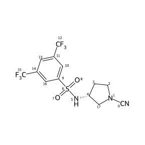 N#CN1CC[C@@H](NS(=O)(=O)c2cc(C(F)(F)F)cc(C(F)(F)F)c2)C1